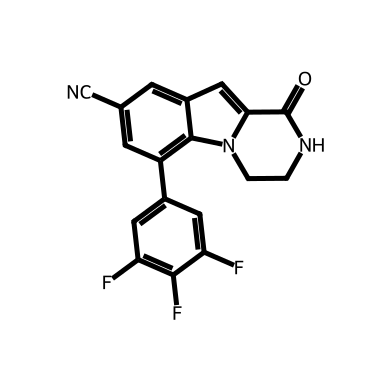 N#Cc1cc(-c2cc(F)c(F)c(F)c2)c2c(c1)cc1n2CCNC1=O